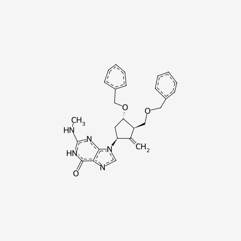 C=C1[C@H](COCc2ccccc2)[C@@H](OCc2ccccc2)C[C@@H]1n1cnc2c(=O)[nH]c(NC)nc21